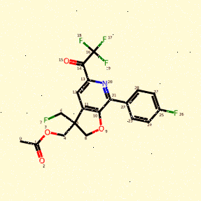 CC(=O)OCC1(CF)COc2c1cc(C(=O)C(F)(F)F)nc2-c1ccc(F)cc1